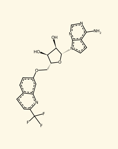 Nc1ncnc2c1ccn2[C@@H]1O[C@H](COc2ccc3ccc(C(F)(F)F)nc3c2)[C@@H](O)[C@H]1O